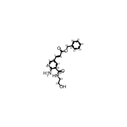 Nc1ncc(C=CC(=O)OCc2ccccc2)cc1C(=O)NCCO